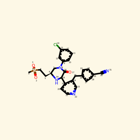 CS(=O)(=O)CC[C@H]1CN(c2cccc(Cl)c2)C(=O)C(c2ccncc2Cc2ccc(C#N)cc2)N1